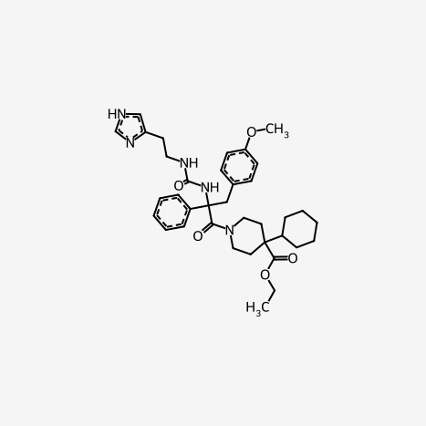 CCOC(=O)C1(C2CCCCC2)CCN(C(=O)C(Cc2ccc(OC)cc2)(NC(=O)NCCc2c[nH]cn2)c2ccccc2)CC1